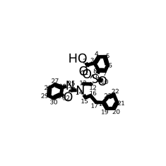 O=C(O)c1ccccc1S(=O)(=O)CCN(CCCc1ccccc1)c1nc2ccccc2o1